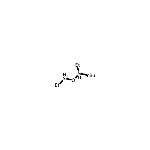 CCCC[SiH](CC)O[SiH2]CC